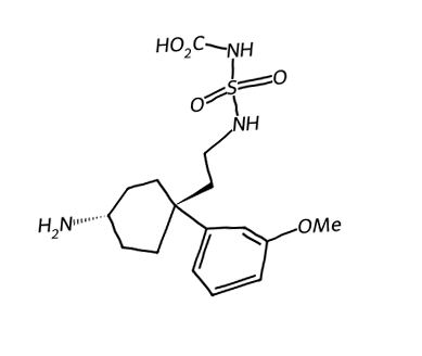 COc1cccc([C@]2(CCNS(=O)(=O)NC(=O)O)CC[C@H](N)CC2)c1